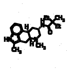 CCC(C)(CC)C(=O)N[C@H]1C[C@@H]2c3cccc4[nH]c(C)c(c34)C[C@H]2N(C)C1